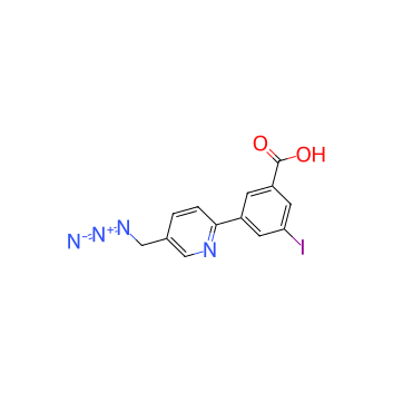 [N-]=[N+]=NCc1ccc(-c2cc(I)cc(C(=O)O)c2)nc1